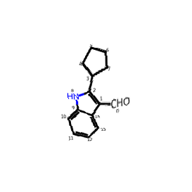 O=Cc1c(C2CCCC2)[nH]c2ccccc12